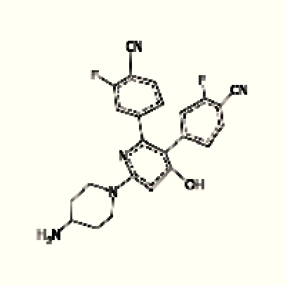 N#Cc1ccc(-c2nc(N3CCC(N)CC3)cc(O)c2-c2ccc(C#N)c(F)c2)cc1F